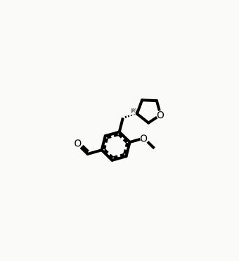 COc1ccc(C=O)cc1C[C@@H]1CCOC1